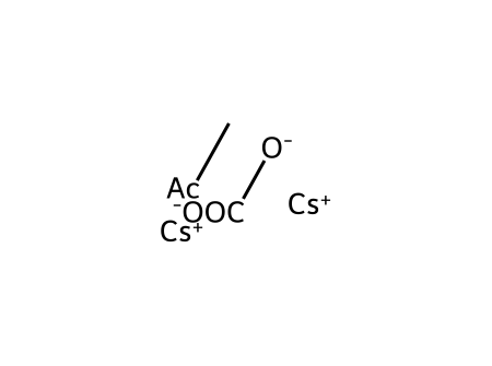 CC(C)=O.O=C([O-])[O-].[Cs+].[Cs+]